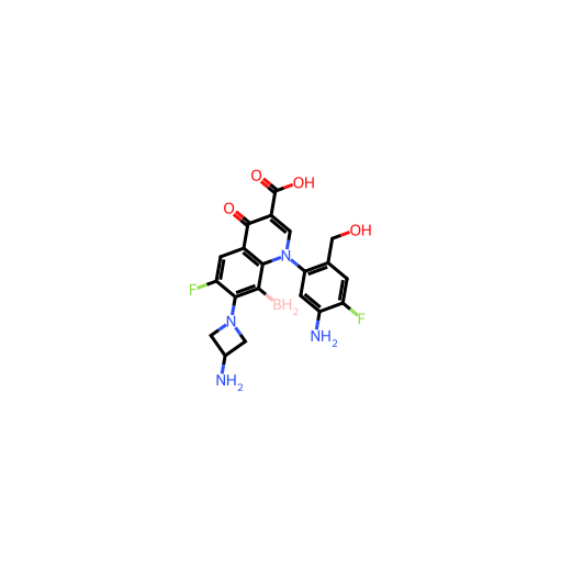 Bc1c(N2CC(N)C2)c(F)cc2c(=O)c(C(=O)O)cn(-c3cc(N)c(F)cc3CO)c12